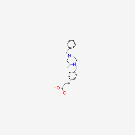 C[C@@H]1CN(Cc2ccccc2)C[C@H](C)N1Cc1ccc(C=CC(=O)O)cc1